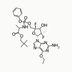 CCOc1nc(N)nc2c1ncn2[C@@H]1O[C@](F)(COP(=O)(NC(C)C(=O)OCC(C)(C)C)Oc2ccccc2)C(O)[C@@]1(C)F